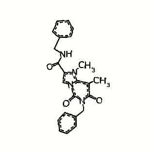 Cc1c(=O)n(Cc2ccccc2)c(=O)n2cc(C(=O)NCc3ccccc3)n(C)c12